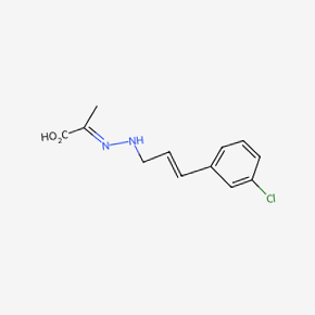 CC(=NNCC=Cc1cccc(Cl)c1)C(=O)O